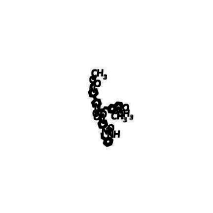 CCOC(=O)CN1CCC(C2CCN(C(=O)[C@@H](Cc3cc(C)c4c(ccc(=O)n4C)c3)OC(=O)N3CCC(N4CCc5ccccc5NC4=O)CC3)CC2)CC1